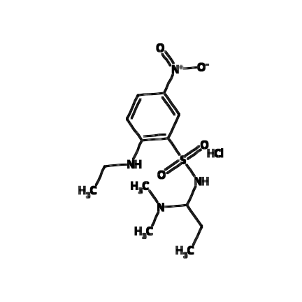 CCNc1ccc([N+](=O)[O-])cc1S(=O)(=O)NC(CC)N(C)C.Cl